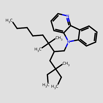 CCCCCC(C)(C)C(Cn1c2ccccc2c2ncccc21)CC(C)(CC)CC